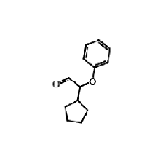 O=CC(Oc1ccccc1)C1CCCC1